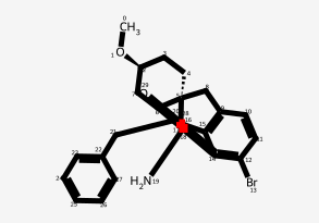 CO[C@H]1CC[C@]2(CC1)Cc1ccc(Br)cc1C21N=C(N)N(Cc2ccccc2)C1=O